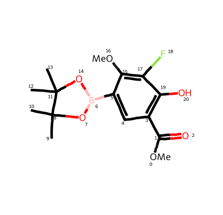 COC(=O)c1cc(B2OC(C)(C)C(C)(C)O2)c(OC)c(F)c1O